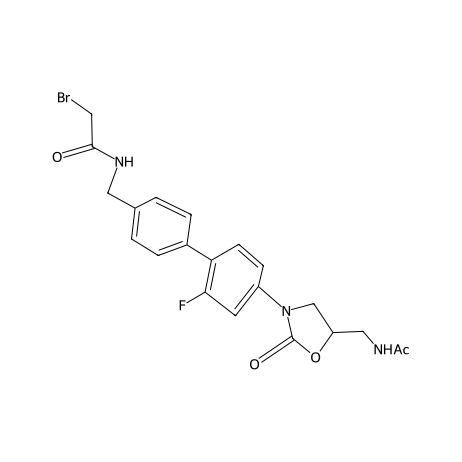 CC(=O)NCC1CN(c2ccc(-c3ccc(CNC(=O)CBr)cc3)c(F)c2)C(=O)O1